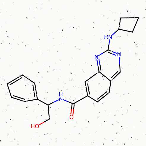 O=C(NC(CO)c1ccccc1)c1ccc2cnc(NC3CCC3)nc2c1